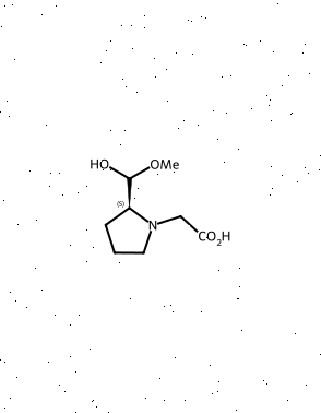 COC(O)[C@@H]1CCCN1CC(=O)O